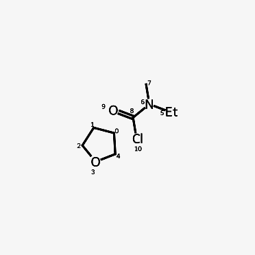 C1CCOC1.CCN(C)C(=O)Cl